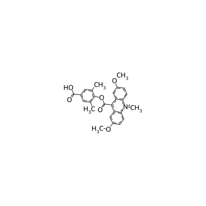 COc1ccc2c(c1)c(C(=O)Oc1c(C)cc(C(=O)O)cc1C)c1cc(OC)ccc1[n+]2C